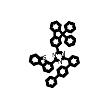 c1ccc(-c2ccc(-c3ccccc3-c3nc(-c4ccc5c(c4)C(c4ccccc4)(c4ccccc4)c4ccccc4-5)nc(-c4cccc5c4sc4ccccc45)n3)cc2)cc1